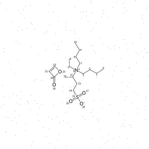 CCCC[N+](CC)(CCCC)C(C)CCS(=O)(=O)[O-].O=C1C=CO1